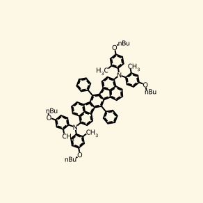 CCCCOc1ccc(N(c2ccc(OCCCC)cc2C)c2ccc3c4c(-c5ccccc5)c5c6cccc7c(N(c8ccc(OCCCC)cc8C)c8ccc(OCCCC)cc8C)ccc(c5c(-c5ccccc5)c4c4cccc2c43)c76)c(C)c1